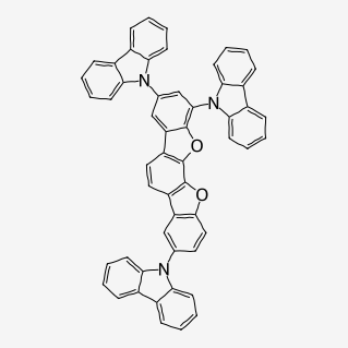 c1ccc2c(c1)c1ccccc1n2-c1ccc2oc3c(ccc4c5cc(-n6c7ccccc7c7ccccc76)cc(-n6c7ccccc7c7ccccc76)c5oc43)c2c1